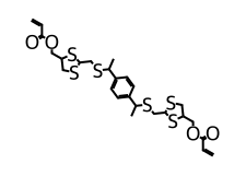 C=CC(=O)OCC1CSC(CSC(C)c2ccc(C(C)SCC3SCC(COC(=O)C=C)S3)cc2)S1